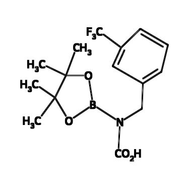 CC1(C)OB(N(Cc2cccc(C(F)(F)F)c2)C(=O)O)OC1(C)C